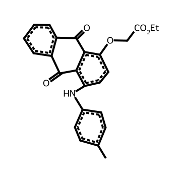 CCOC(=O)COc1ccc(Nc2ccc(C)cc2)c2c1C(=O)c1ccccc1C2=O